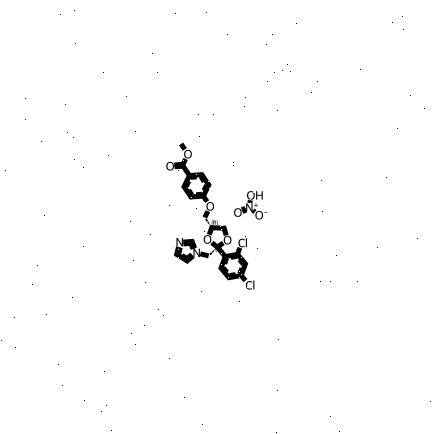 COC(=O)c1ccc(OC[C@@H]2CO[C@@](Cn3ccnc3)(c3ccc(Cl)cc3Cl)O2)cc1.O=[N+]([O-])O